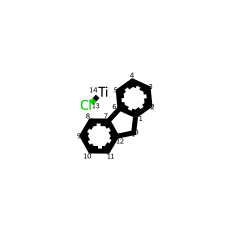 [CH]1c2ccccc2-c2ccccc21.[Cl][Ti]